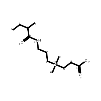 CCC(C)C(=O)NCCC[N+](C)(C)CCC(=O)[O-]